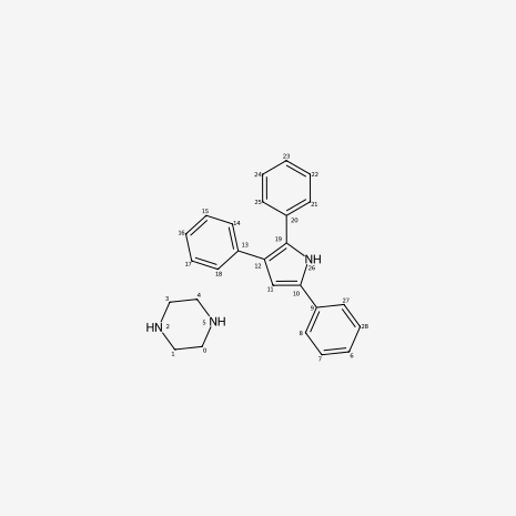 C1CNCCN1.c1ccc(-c2cc(-c3ccccc3)c(-c3ccccc3)[nH]2)cc1